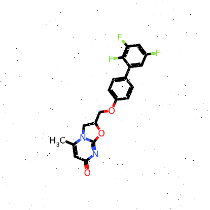 Cc1cc(=O)nc2n1CC(COc1ccc(-c3cc(F)cc(F)c3F)cc1)O2